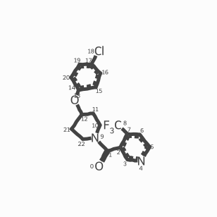 O=C(c1cnccc1C(F)(F)F)N1CCC(Oc2ccc(Cl)cc2)CC1